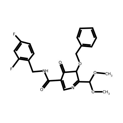 COC(OC)C1=NC=C(C(=O)NCc2ccc(F)cc2F)C(=O)C1OCc1ccccc1